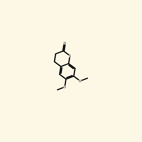 COc1cc2c(cc1OC)SC(=O)CC2